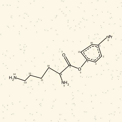 CCCc1ccc(OC(=O)C(N)CCCCN)cc1